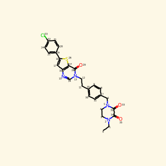 CCN1CCN(Cc2ccc(CCn3cnc4cc(-c5ccc(Cl)cc5)sc4c3=O)cc2)C(=O)C1=O